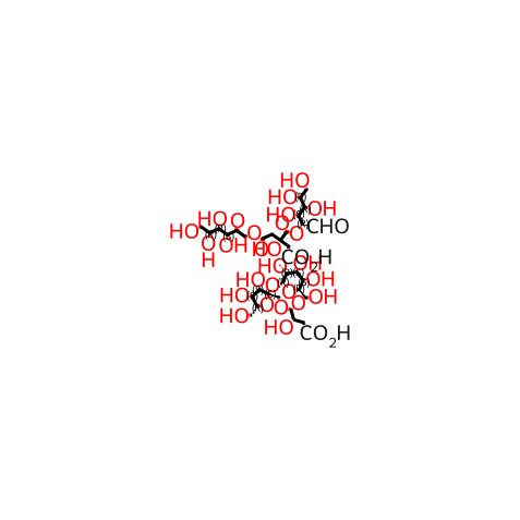 O=C(O)CC(O)C(=O)OC[C@@]1(O[C@H]2O[C@H](CO)[C@@H](O)[C@H](O)[C@H]2O)O[C@H](CO)[C@@H](O)[C@@H]1O.O=C[C@H](OC(=O)C(O)(CC(=O)O)CC(=O)OCC(=O)[C@@H](O)[C@H](O)[C@H](O)CO)[C@@H](O)[C@H](O)[C@H](O)CO